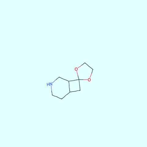 C1CC2CC3(OCCO3)C2CN1